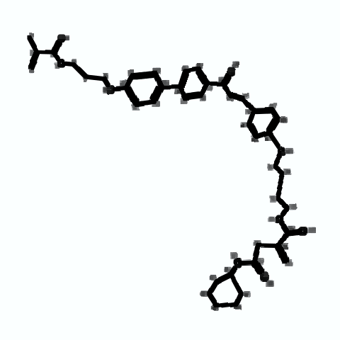 C=C(C)C(=O)OCCCOc1ccc(-c2ccc(C(=O)/C=C/c3ccc(OCCCCOC(=O)C(=C)CC(=O)OC4CCCCC4)cc3)cc2)cc1